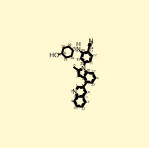 Cc1cc2c(-c3cnc4ccccc4c3)cccc2n1-c1ccc(C#N)c(N[C@H]2CC[C@H](O)CC2)c1